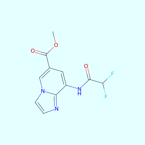 COC(=O)c1cc(NC(=O)C(F)F)c2nccn2c1